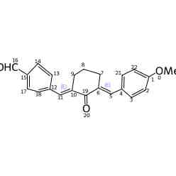 COc1ccc(/C=C2\CCC/C(=C\c3ccc(C=O)cc3)C2=O)cc1